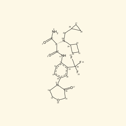 NC(=O)[C@@H](C(=O)Nc1ccc(N2CCOCC2=O)cc1C(F)(F)F)N(CC1CC1)C1CCC1